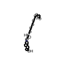 CC12CC/C(=N\OCC(=O)NCCOCCOCCOCCOCCC(=O)ON3C(=O)CCC3=O)C=C1CCC1C2CCC2(C)C(O)CCC12